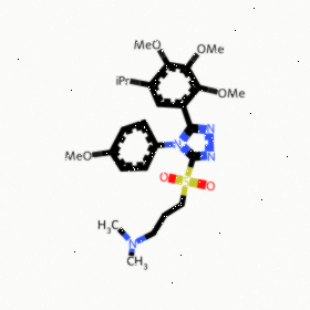 COc1ccc(-n2c(-c3cc(C(C)C)c(OC)c(OC)c3OC)nnc2S(=O)(=O)CCCN(C)C)cc1